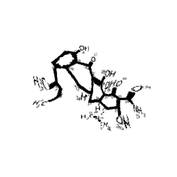 CCC(C)c1ccc(O)c2c1C[C@@H]1C[C@@H]3[C@@H](N(C)C)C(O)=C(C(N)=O)C(=O)[C@]3(O)C(O)=C1C2=O